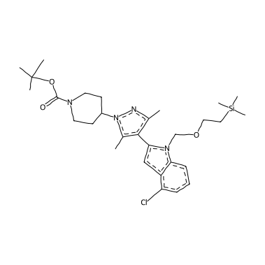 Cc1nn(C2CCN(C(=O)OC(C)(C)C)CC2)c(C)c1-c1cc2c(Cl)cccc2n1COCC[Si](C)(C)C